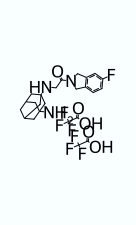 NC12CC3CC(C1)CC(NCC(=O)N1Cc4ccc(F)cc4C1)(C3)C2.O=C(O)C(F)(F)F.O=C(O)C(F)(F)F